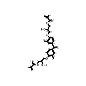 C=C(C)C(=O)OCC(O)COc1ccc(C(C)c2ccc(OCC(O)COC(=O)C(=C)C)c(C)c2)cc1C